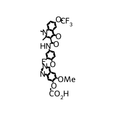 COc1cc2c(Oc3ccc(NC(=O)c4c(C)n(C)c5ccc(OC(F)(F)F)cc5c4=O)cc3F)ncnc2cc1OCC(=O)O